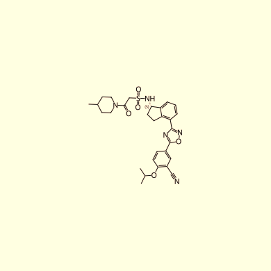 CC1CCN(C(=O)CS(=O)(=O)N[C@H]2CCc3c(-c4noc(-c5ccc(OC(C)C)c(C#N)c5)n4)cccc32)CC1